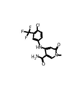 Cn1cc(C(N)=O)c(Nc2ccc(Cl)c(C(F)(F)F)c2)cc1=O